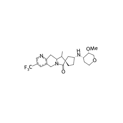 CO[C@@H]1COCC[C@@H]1N[C@@H]1CC[C@@]2(C1)C(=O)N1Cc3cc(C(F)(F)F)cnc3CC1C2C